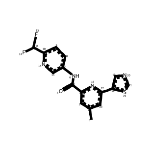 Cc1cc(C(=O)Nc2ccc(C(F)F)nc2)nc(-c2cncs2)c1